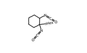 CCCCCCC1(N=C=O)CCCCC1N=C=O